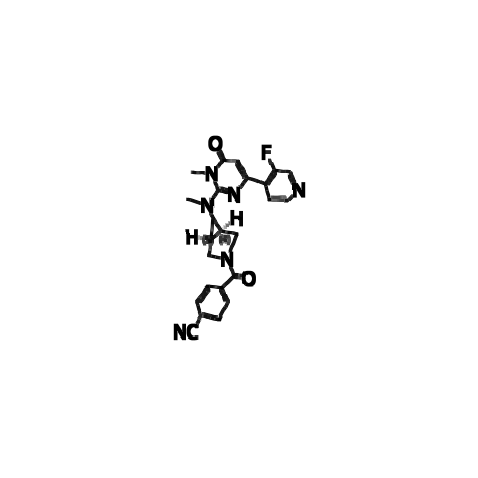 CN(c1nc(-c2ccncc2F)cc(=O)n1C)C1[C@H]2CN(C(=O)c3ccc(C#N)cc3)C[C@@H]12